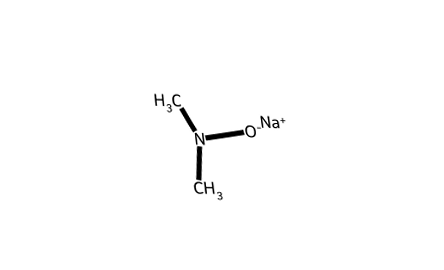 CN(C)[O-].[Na+]